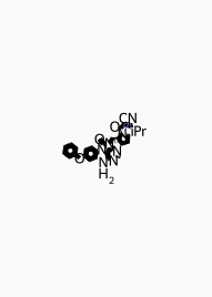 CC(C)/C=C(/C#N)C(=O)N1CCC[C@H]1Cn1c(=O)n(-c2ccc(Oc3ccccc3)cc2)c2c(N)ncnc21